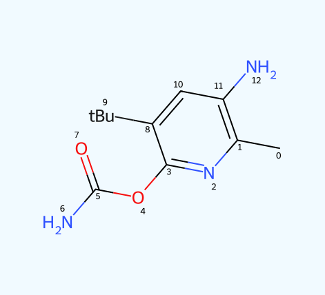 Cc1nc(OC(N)=O)c(C(C)(C)C)cc1N